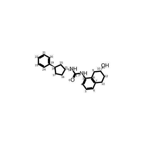 O=C(Nc1cccc2c1C[C@H](O)CC2)N[C@@H]1CC[C@@H](c2ccccc2)C1